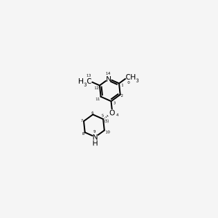 Cc1cc(O[C@H]2CCCNC2)cc(C)n1